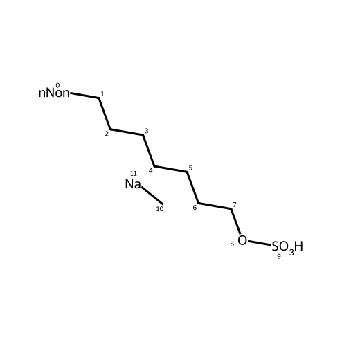 CCCCCCCCCCCCCCCCOS(=O)(=O)O.[CH3][Na]